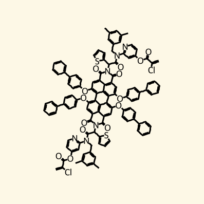 C=C(Cl)C(=O)Oc1ccnc(N(Cc2cc(C)cc(C)c2)C(=O)C(c2cccs2)N2C(=O)c3cc(Oc4ccc(-c5ccccc5)cc4)c4c5c(Oc6ccc(-c7ccccc7)cc6)cc6c7c(cc(Oc8ccc(-c9ccccc9)cc8)c(c8c(Oc9ccc(-c%10ccccc%10)cc9)cc(c3c48)C2=O)c75)C(=O)N(C(C(=O)N(Cc2cc(C)cc(C)c2)c2cc(OC(=O)C(=C)Cl)ccn2)c2cccs2)C6=O)c1